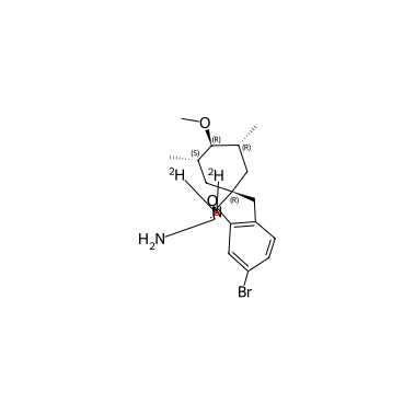 [2H]C1([2H])OC(N)=NC12c1cc(Br)ccc1C[C@@]21C[C@@H](C)[C@H](OC)[C@@H](C)C1